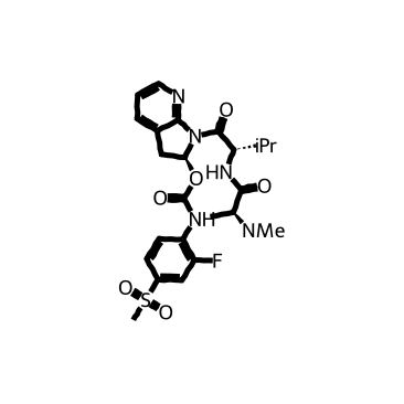 CN[C@@H](C)C(=O)N[C@H](C(=O)N1c2ncccc2C[C@@H]1OC(=O)Nc1ccc(S(C)(=O)=O)cc1F)C(C)C